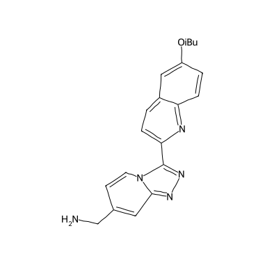 CC(C)COc1ccc2nc(-c3nnc4cc(CN)ccn34)ccc2c1